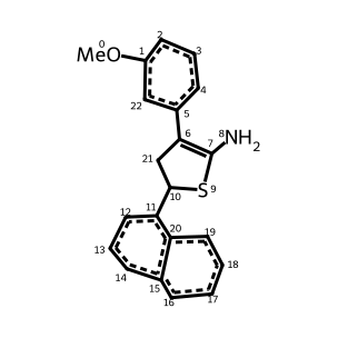 COc1cccc(C2=C(N)SC(c3cccc4ccccc34)C2)c1